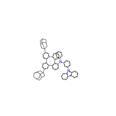 c1ccc(N(c2cccc(-n3c4ccccc4c4ccccc43)c2)c2cccc3c2-c2ccccc2-c2cc(C45CC6CC(CC(C6)C4)C5)ccc2-c2ccc(C45CC6CC7CC(C4)C5(C7)C6)cc2-3)cc1